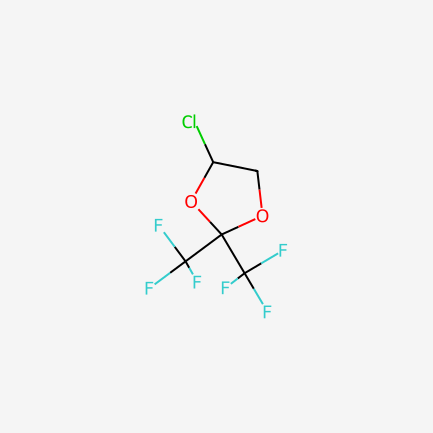 FC(F)(F)C1(C(F)(F)F)OCC(Cl)O1